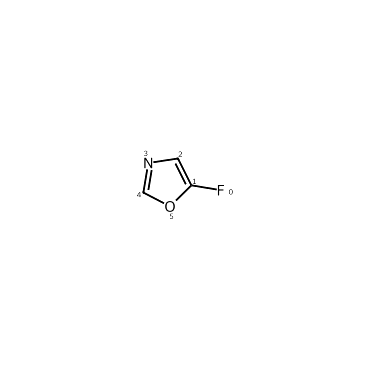 Fc1cnco1